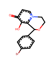 O=c1ccn2c(c1O)C(c1ccc(Br)cc1)OCC2